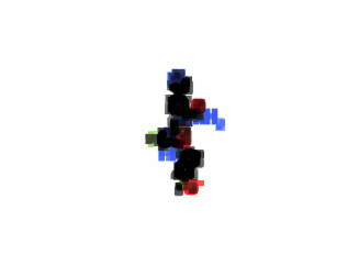 C[S+]([O-])c1ccc2c(NC(=O)C3CC(F)CN3C(=O)Cn3nc(C(N)=O)c4cc(-c5ccnnc5)ccc43)cccc2c1